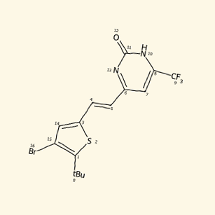 CC(C)(C)c1sc(C=Cc2cc(C(F)(F)F)[nH]c(=O)n2)cc1Br